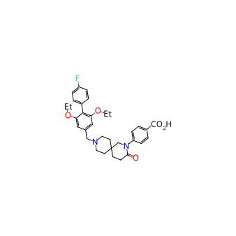 CCOc1cc(CN2CCC3(CCC(=O)N(c4ccc(C(=O)O)cc4)C3)CC2)cc(OCC)c1-c1ccc(F)cc1